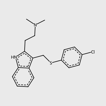 CN(C)CCc1[nH]c2ccccc2c1CSc1ccc(Cl)cc1